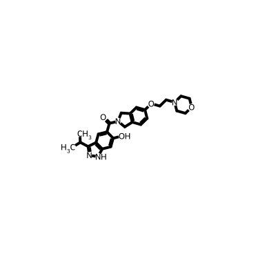 CC(C)c1n[nH]c2cc(O)c(C(=O)N3Cc4ccc(OCCN5CCOCC5)cc4C3)cc12